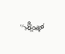 N#Cc1cc(C(=O)CCC(F)(F)F)c(CN2CCCC2=O)nc1N1CCC(C(=O)NS(=O)(=O)Cc2ccc(F)cc2F)CC1